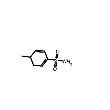 CC1C=CC(S(N)(=O)=O)=CC1